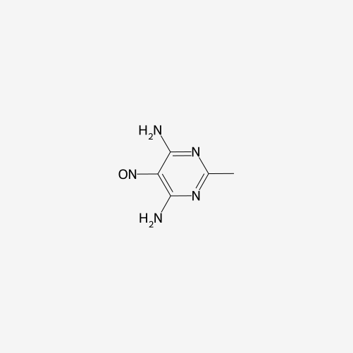 Cc1nc(N)c(N=O)c(N)n1